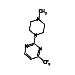 CN1CCN(c2nccc(C(F)(F)F)n2)CC1